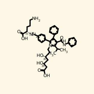 CC(C)c1c(C(=O)Nc2ccccc2)c(-c2ccccc2)c(-c2ccc(F)cc2)n1CC[C@@H](O)C[C@@H](O)CC(=O)O.NCCC[C@H](N)C(=O)O